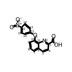 O=C(O)c1ccc2cccc(Oc3ccc([N+](=O)[O-])cc3)c2n1